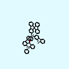 c1ccc(N2c3ccccc3C3(c4ccccc4)c4cc(N(c5ccc6c(c5)C5(c7ccccc7-c7ccccc75)c5ccccc5-6)c5ccc6c(c5)sc5ccccc56)ccc4-c4cccc2c43)cc1